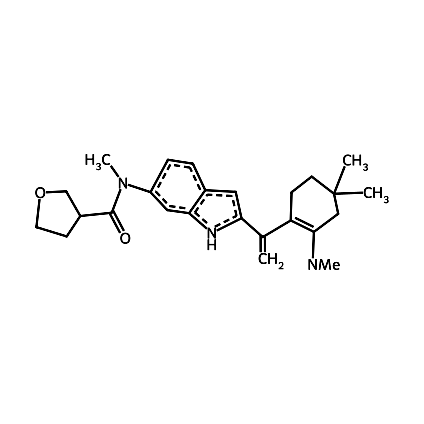 C=C(C1=C(NC)CC(C)(C)CC1)c1cc2ccc(N(C)C(=O)C3CCOC3)cc2[nH]1